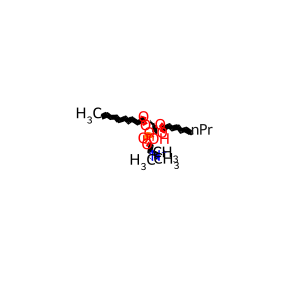 CC=CCC=CCC=CCC(=O)OC[C@H](COP(=O)(O)OCC[N+](C)(C)C)OC(=O)CC=CCC=CCCC